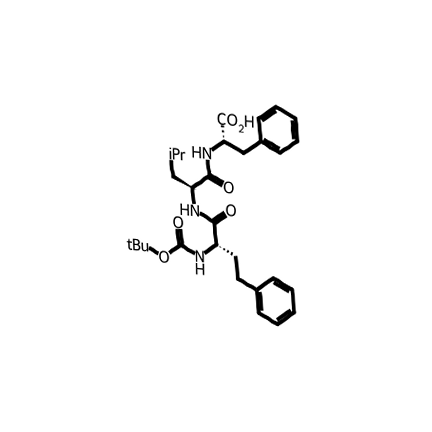 CC(C)C[C@H](NC(=O)[C@H](CCc1ccccc1)NC(=O)OC(C)(C)C)C(=O)N[C@@H](Cc1ccccc1)C(=O)O